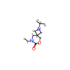 CCN1CC2(COC1=O)CN(C(C)C)C2